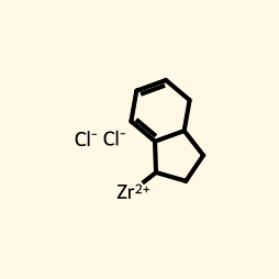 [Cl-].[Cl-].[Zr+2][CH]1CCC2CC=CC=C12